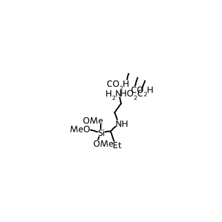 CC(=O)O.CC(=O)O.CC(=O)O.CCC(NCCN)[Si](OC)(OC)OC